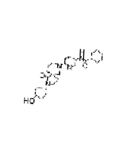 O=C(Nc1ccc(N2CCC[C@]3(CCN([C@H]4CC[C@H](O)CC4)C3=O)C2)nc1)C1CCCCC1